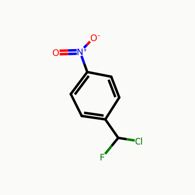 O=[N+]([O-])c1ccc(C(F)Cl)cc1